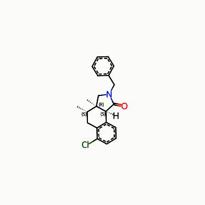 C[C@H]1Cc2c(Cl)cccc2[C@@H]2C(=O)N(Cc3ccccc3)C[C@]12C